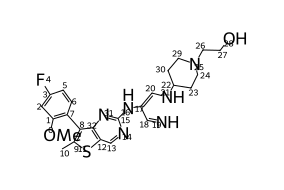 COc1cc(F)ccc1-c1c(C)sc2cnc(N/C(C=N)=C/NC3CCN(CCO)CC3)nc12